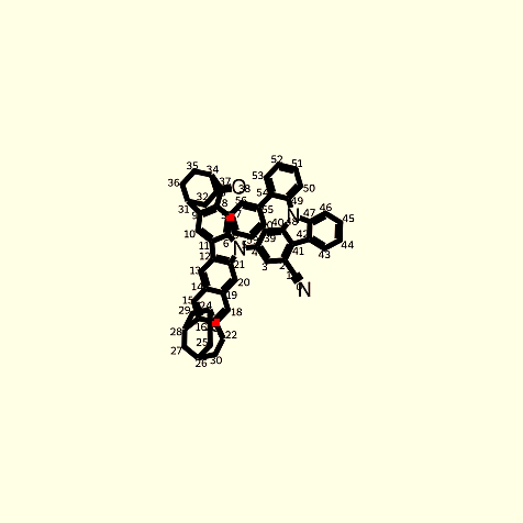 N#Cc1cc(-n2c3cc4c(cc3c3cc5cc6c(cc5cc32)C2CC3CC(CC6C3)C2)C2CCC(CC2)C4=O)cc2c1c1ccccc1n2-c1ccccc1-c1ccccc1